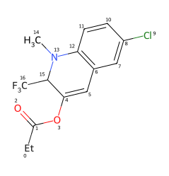 CCC(=O)OC1=Cc2cc(Cl)ccc2N(C)C1C(F)(F)F